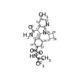 Cc1cnc2c(c1)C(C(N)=O)C(c1ccc(S(=O)(=O)N[C@@H](C)C(F)(F)F)cc1)N2C1CCC1